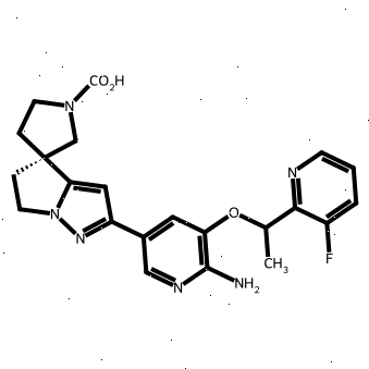 CC(Oc1cc(-c2cc3n(n2)CC[C@@]32CCN(C(=O)O)C2)cnc1N)c1ncccc1F